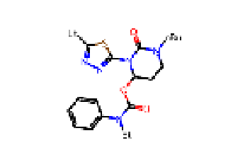 CCCCN1CCC(OC(=O)N(CC)c2ccccc2)N(c2nnc(CC)s2)C1=O